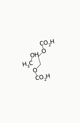 CO.O=C(O)OCCOC(=O)O